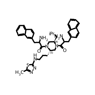 Cc1nnc(NCCC[C@H]2CN(C(=O)C(N)Cc3ccc4ccccc4c3)[C@H](CC(C)C)CN2C(=O)C(N)Cc2ccc3ccccc3c2)s1